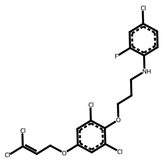 Fc1cc(Cl)ccc1NCCCOc1c(Cl)cc(OCC=C(Cl)Cl)cc1Cl